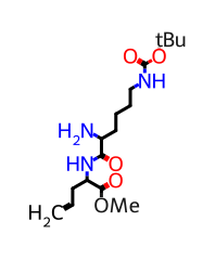 C=CCC(NC(=O)C(N)CCCCNC(=O)OC(C)(C)C)C(=O)OC